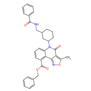 Cc1onc2c1c(=O)n(C1CCCC(CNC(=O)c3ccccc3)C1)c1cccc(C(=O)OCc3ccccc3)c21